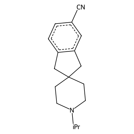 CC(C)N1CCC2(CC1)Cc1ccc(C#N)cc1C2